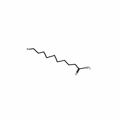 NC(=O)CCCCCCCCCF